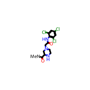 CNC(=O)C1CN(CC(=O)Nc2c(Cl)cc(Cl)cc2Cl)CCN1